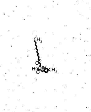 CCCCCCCCCCCCOC(=O)CCNC(Cc1ccc(C)cc1)C(=O)O